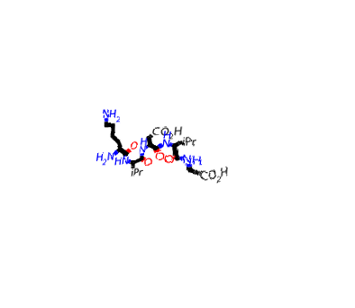 CC(C)C(NC(=O)C(N)CCCCN)C(=O)NC(CC(=O)O)C(=O)NC(C(=O)NCC(=O)O)C(C)C